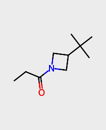 CCC(=O)N1CC(C(C)(C)C)C1